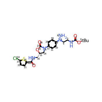 CC(C)(C)OC(=O)NCCN(N)c1ccc(N2C[C@H](CNC(=O)c3ccc(Cl)s3)OC2=O)cc1